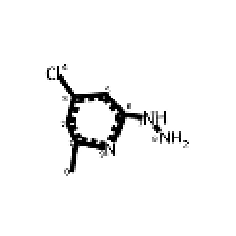 Cc1cc(Cl)cc(NN)n1